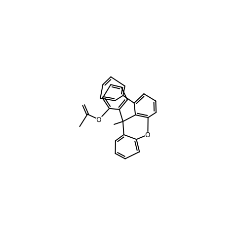 C=C(C)Oc1ccccc1C1(C)c2ccccc2Oc2cccc(-c3ccccc3)c21